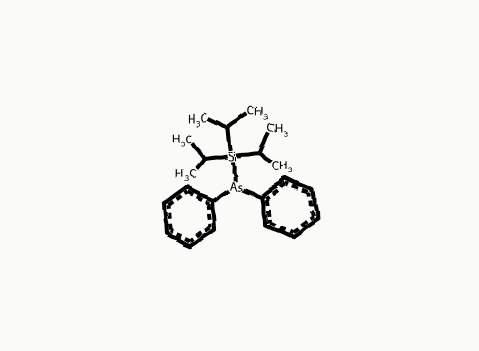 CC(C)[Si](C(C)C)(C(C)C)[As](c1ccccc1)c1ccccc1